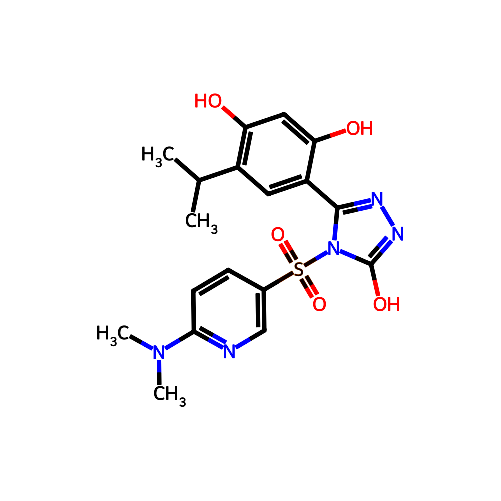 CC(C)c1cc(-c2nnc(O)n2S(=O)(=O)c2ccc(N(C)C)nc2)c(O)cc1O